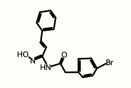 O=C(Cc1ccc(Br)cc1)NC(/C=C/c1ccccc1)=N/O